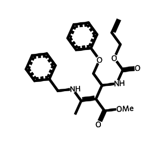 C=CCOC(=O)NC(COc1ccccc1)C(C(=O)OC)=C(C)NCc1ccccc1